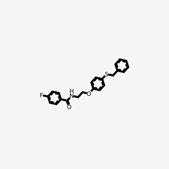 O=C(NCCOc1ccc(SCc2ccccc2)cc1)c1ccc(F)cc1